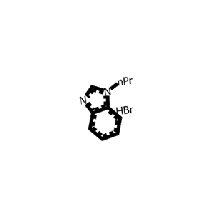 Br.CCCn1cnc2ccccc21